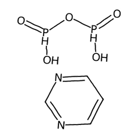 O=[PH](O)O[PH](=O)O.c1cncnc1